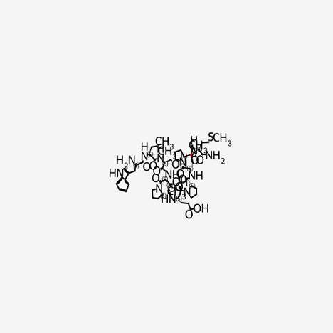 CSCC[C@H](NC(=O)[C@@H]1CCCN1C(=O)[C@H](CCSC)NC(=O)[C@@H]1CCCN1C(=O)[C@H](CCC(=O)O)NC(=O)[C@@H]1CCCN1C(=O)[C@@H](NC(=O)[C@H](CO)NC(=O)[C@H](CC(C)C)NC(=O)[C@@H](N)Cc1c[nH]c2ccccc12)[C@@H](C)O)C(N)=O